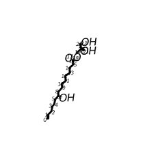 C=CCCCCC(O)CCCCCCCCC(=O)OCC(O)CO